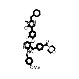 COc1ccc(Cn2nc(-c3ccc(C(=O)N4CCOCC4)cc3)c3c(Oc4ccc(-c5cnc(CC6CCCCC6)n(C)c5=O)cc4F)ccnc32)cc1